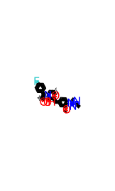 COc1cc(C=C2O[C@@H](C)CN([C@H](c3ccc(F)cc3)[C@@H](C)O)C2=O)ccc1-n1cnc(C)n1